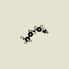 CCOc1cc(-c2ccc(NC(=O)Nc3ccc(OC4(C)CN(C)C4)c(C(F)(F)F)c3)c(F)c2)c[nH]c1=O